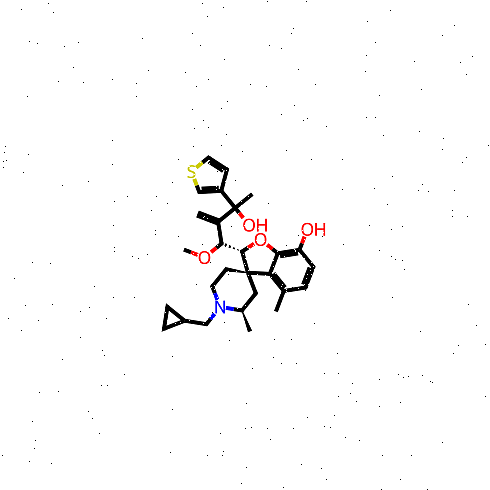 C=C(C(OC)[C@@H]1Oc2c(O)ccc(C)c2[C@@]12CCN(CC1CC1)[C@H](C)C2)C(C)(O)c1ccsc1